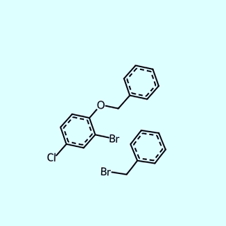 BrCc1ccccc1.Clc1ccc(OCc2ccccc2)c(Br)c1